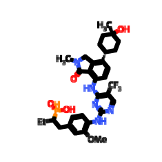 CCC(Cc1ccc(Nc2ncc(C(F)(F)F)c(Nc3ccc([C@H]4CC[C@@](C)(O)CC4)c4c3C(=O)N(C)C4)n2)c(OC)c1)[PH](=O)O